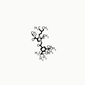 CCOC(=O)c1cn(CC(=O)c2cc(C(C)(C)C)c(O)c(C(C)(C)C)c2)/c(=N/C)n1CCC(CC)CC